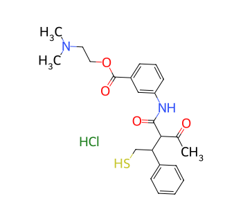 CC(=O)C(C(=O)Nc1cccc(C(=O)OCCN(C)C)c1)C(CS)c1ccccc1.Cl